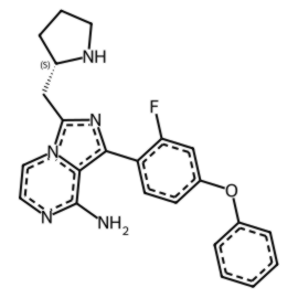 Nc1nccn2c(C[C@@H]3CCCN3)nc(-c3ccc(Oc4ccccc4)cc3F)c12